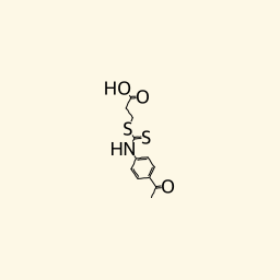 CC(=O)c1ccc(NC(=S)SCCC(=O)O)cc1